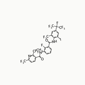 CN(C(=O)c1ccc(C(F)(F)F)nc1C(F)(F)F)c1cccc(C(=O)Nc2c(I)cc(C(F)(C(F)(F)F)C(F)(F)F)cc2C(F)(F)F)c1F